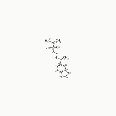 CC(SCCS(=O)(=O)N(C)C)c1ccc2c(c1)OCO2